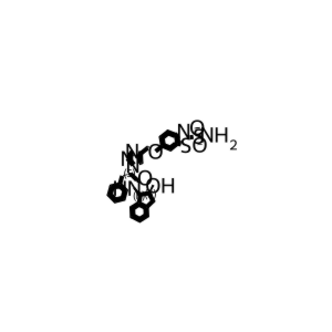 NS(=O)(=O)c1nc2ccc(OCc3cn([C@@H](Cc4ccccc4)C(=O)N[C@@H]4c5ccccc5C[C@@H]4O)nn3)cc2s1